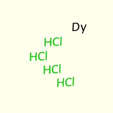 Cl.Cl.Cl.Cl.[Dy]